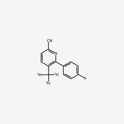 [2H]C([2H])([2H])c1ccc(C#N)nc1-c1ccc(F)cc1